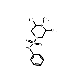 CC1CN(S(=O)(=O)Nc2ccccc2)CC(C)N1C